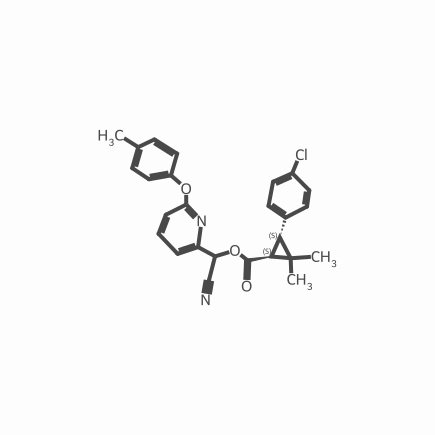 Cc1ccc(Oc2cccc(C(C#N)OC(=O)[C@H]3[C@H](c4ccc(Cl)cc4)C3(C)C)n2)cc1